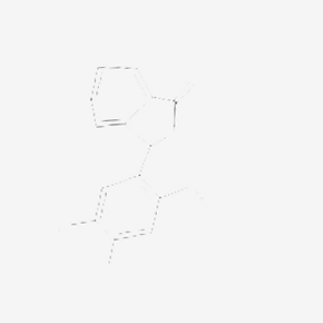 COc1cc(Cl)c(C)cc1C1OC(=O)c2ccccc21